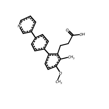 COc1ccc(-c2ccc(-c3cccnc3)cc2)c(CCC(=O)O)c1C